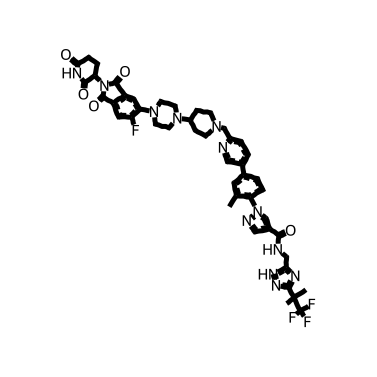 Cc1cc(-c2ccc(CN3CCC(N4CCN(c5cc6c(cc5F)C(=O)N(C5CCC(=O)NC5=O)C6=O)CC4)CC3)nc2)ccc1-n1cc(C(=O)NCc2nc(C(C)(C)C(F)(F)F)n[nH]2)cn1